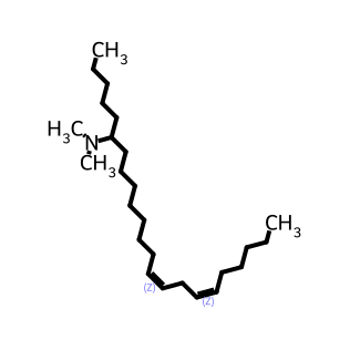 CCCCC/C=C\C/C=C\CCCCCCCC(CCCCC)N(C)C